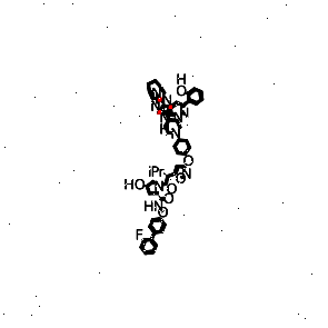 CC(C)[C@@H](C(=O)N1C[C@H](O)C[C@H]1C(=O)NOc1ccc(-c2ccccc2F)cc1)c1cc(O[C@H]2CC[C@@H](N3CCC(c4cnc(N5C6CCC5CN(c5c[nH]c7nnc(-c8ccccc8O)cc57)C6)nc4)CC3)CC2)no1